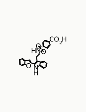 O=C(O)c1ccc(S(=O)(=O)NCCc2c(-c3cc4ccccc4o3)[nH]c3ccccc23)cc1